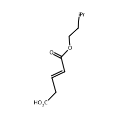 CC(C)CCOC(=O)C=CCC(=O)O